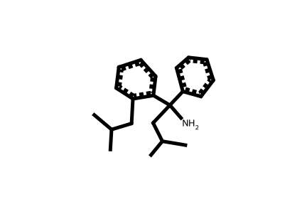 CC(C)Cc1ccccc1C(N)(CC(C)C)c1ccccc1